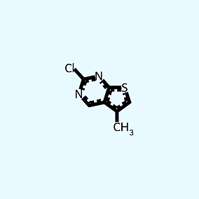 Cc1csc2nc(Cl)ncc12